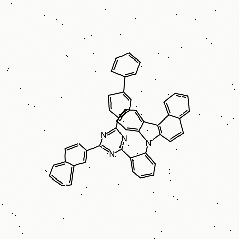 c1ccc(-c2ccc(-c3nc(-c4ccc5ccccc5c4)nc(-c4ccccc4-n4c5ccccc5c5c6ccccc6ccc54)n3)cc2)cc1